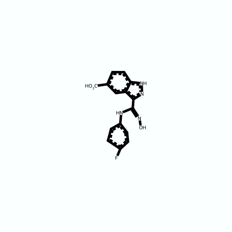 O=C(O)c1ccc2[nH]nc(C(=NO)Nc3ccc(F)cc3)c2c1